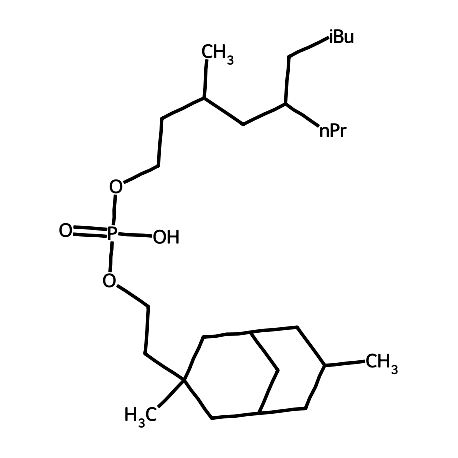 CCCC(CC(C)CC)CC(C)CCOP(=O)(O)OCCC1(C)CC2CC(C)CC(C2)C1